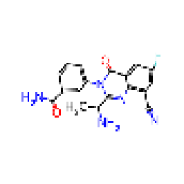 C[C@H](N)c1nc2c(C#N)cc(F)cc2c(=O)n1-c1cccc(C(N)=O)c1